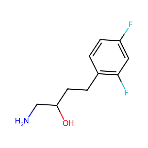 NCC(O)CCc1ccc(F)cc1F